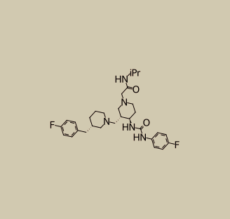 CC(C)NC(=O)CN1CC[C@@H](NC(=O)Nc2ccc(F)cc2)[C@H](CN2CCC[C@@H](Cc3ccc(F)cc3)C2)C1